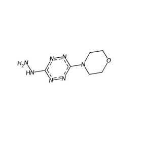 NNc1nnc(N2CCOCC2)nn1